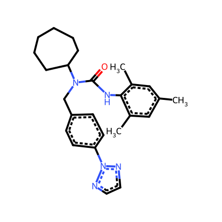 Cc1cc(C)c(NC(=O)N(Cc2ccc(-n3nccn3)cc2)C2CCCCCC2)c(C)c1